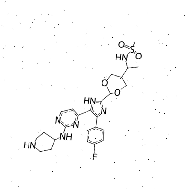 CC(NS(C)(=O)=O)C1COC(c2nc(-c3ccc(F)cc3)c(-c3ccnc(NC4CCNCC4)n3)[nH]2)OC1